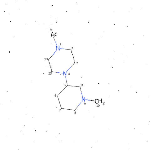 CC(=O)N1CCN(C2CCCN(C)C2)CC1